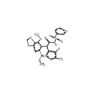 COC(=O)c1cc2c(c(OC)c1C(C(=O)NS(=O)(=O)c1ccsc1)c1onc(C)c1Cl)OCO2